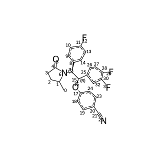 CC1CCC(=O)N1[C@@H](c1ccc(F)cc1)[C@H](Oc1ccc(C#N)cc1)c1ccc(F)c(F)c1